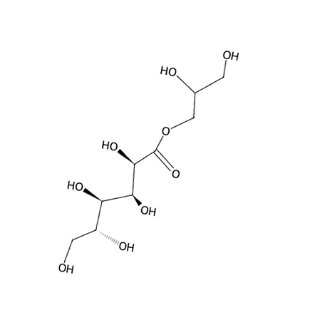 O=C(OCC(O)CO)[C@H](O)[C@@H](O)[C@H](O)[C@H](O)CO